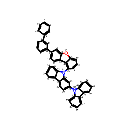 c1ccc(-c2cccc(-c3ccc4c(c3)oc3cccc(-n5c6ccccc6c6ccc(-n7c8ccccc8c8ccccc87)cc65)c34)c2)cc1